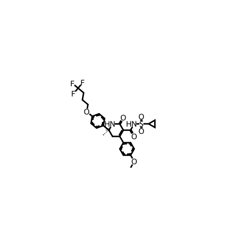 COc1ccc(C2=C(C(=O)NS(=O)(=O)C3CC3)C(=O)N[C@](C)(c3ccc(OCCCC(F)(F)F)cc3)C2)cc1